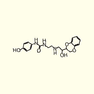 O=C(NCCNCC(O)C1COc2ccccc2O1)Nc1ccc(O)cc1